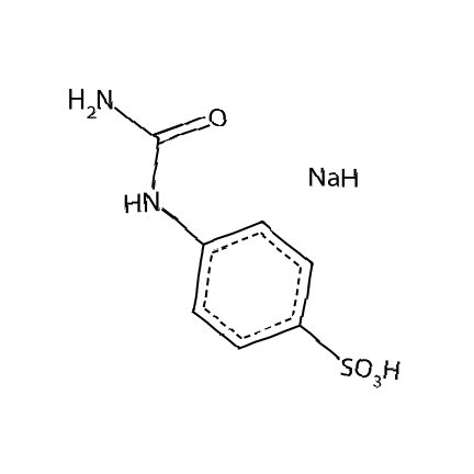 NC(=O)Nc1ccc(S(=O)(=O)O)cc1.[NaH]